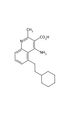 Cc1nc2cccc(CCC3CCCCC3)c2c(N)c1C(=O)O